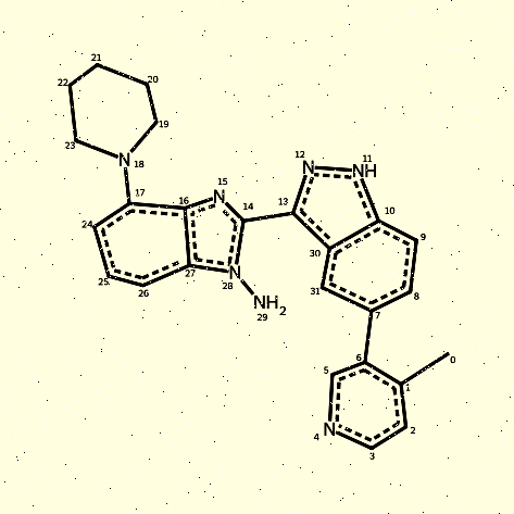 Cc1ccncc1-c1ccc2[nH]nc(-c3nc4c(N5CCCCC5)cccc4n3N)c2c1